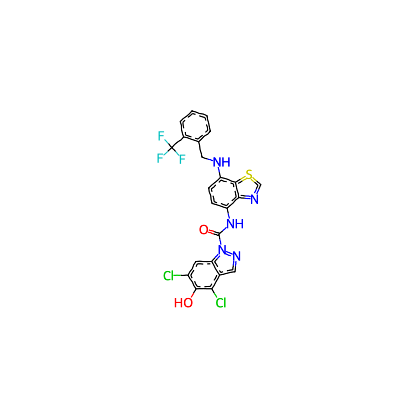 O=C(Nc1ccc(NCc2ccccc2C(F)(F)F)c2scnc12)n1ncc2c(Cl)c(O)c(Cl)cc21